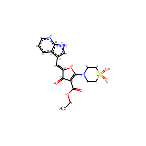 CCOC(=O)C1=C(N2CCS(=O)(=O)CC2)O/C(=C\c2c[nH]c3ncccc23)C1=O